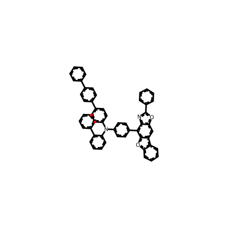 c1ccc(-c2ccc(-c3ccc(N(c4ccc(-c5c6nc(-c7ccccc7)oc6cc6c5oc5ccccc56)cc4)c4ccccc4-c4ccccc4)cc3)cc2)cc1